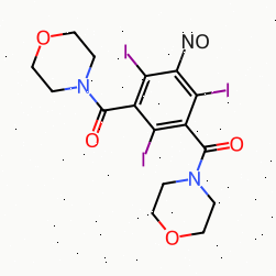 O=Nc1c(I)c(C(=O)N2CCOCC2)c(I)c(C(=O)N2CCOCC2)c1I